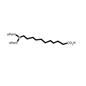 CCCCCN(CCCCC)CCCCCCCCCCC(=O)O